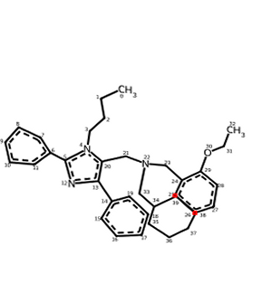 CCCCn1c(-c2ccccc2)nc(-c2ccccc2)c1CN(Cc1ccccc1OCC)CC1CCCCC1